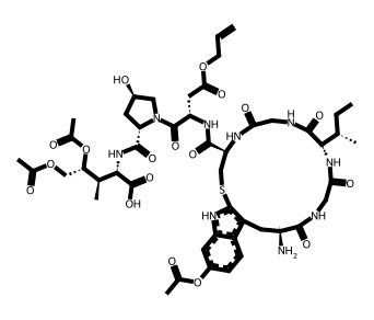 C=CCOC(=O)C[C@H](NC(=O)[C@@H]1CSc2[nH]c3cc(OC(C)=O)ccc3c2C[C@H](N)C(=O)NCC(=O)N[C@@H]([C@@H](C)CC)C(=O)NCC(=O)N1)C(=O)N1C[C@H](O)C[C@H]1C(=O)N[C@H](C(=O)O)[C@@H](C)[C@H](COC(C)=O)OC(C)=O